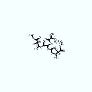 C=C(C)C(=O)OC(CC(=O)OC(CC)C(F)(F)C(=O)OCC(F)(F)F)C(=O)OC(CC)C(F)(F)C(=O)OCC(F)(F)F